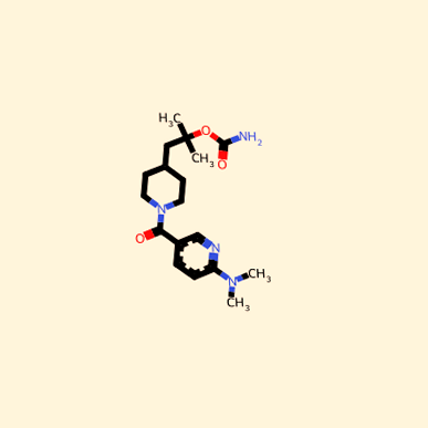 CN(C)c1ccc(C(=O)N2CCC(CC(C)(C)OC(N)=O)CC2)cn1